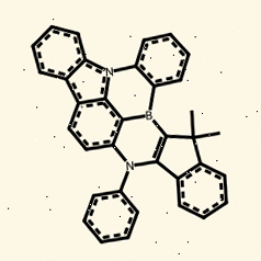 CC1(C)C2=C(c3ccccc31)N(c1ccccc1)c1ccc3c4ccccc4n4c3c1B2c1ccccc1-4